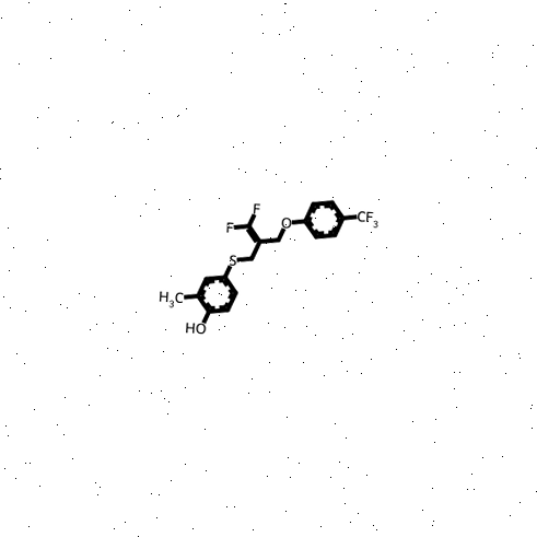 Cc1cc(SCC(COc2ccc(C(F)(F)F)cc2)=C(F)F)ccc1O